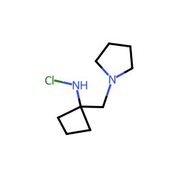 ClNC1(CN2CCCC2)CCC1